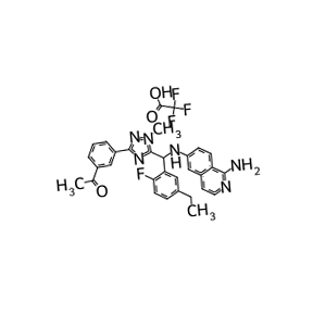 CCc1ccc(F)c(C(Nc2ccc3c(N)nccc3c2)c2nc(-c3cccc(C(C)=O)c3)nn2C)c1.O=C(O)C(F)(F)F